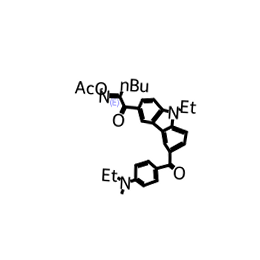 CCCC/C(=N\OC(C)=O)C(=O)c1ccc2c(c1)c1cc(C(=O)c3ccc(N(C)CC)cc3)ccc1n2CC